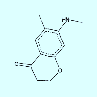 CNc1cc2c(cc1C)C(=O)CCO2